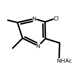 CC(=O)NCc1nc(C)c(C)nc1Cl